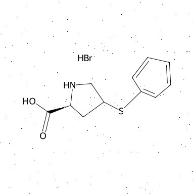 Br.O=C(O)[C@@H]1CC(Sc2ccccc2)CN1